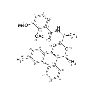 COc1ccnc(C(=O)N[C@@H](C)C(=O)O[C@@H](C)[C@H](Sc2ccc(C)cc2)c2ccccc2)c1OC(C)=O